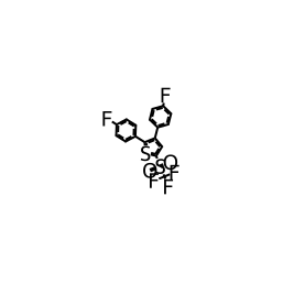 O=S(=O)(c1cc(-c2ccc(F)cc2)c(-c2ccc(F)cc2)s1)C(F)(F)F